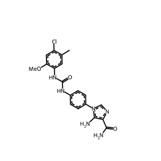 COc1cc(Cl)c(C)cc1NC(=O)Nc1ccc(-n2cnc(C(N)=O)c2N)cc1